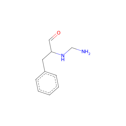 NCNC(C=O)Cc1ccccc1